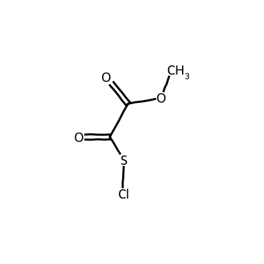 COC(=O)C(=O)SCl